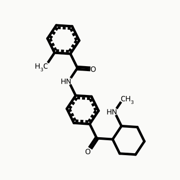 CNC1CCCCC1C(=O)c1ccc(NC(=O)c2ccccc2C)cc1